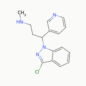 CNCCC(c1cccnc1)n1nc(Cl)c2ccccc21